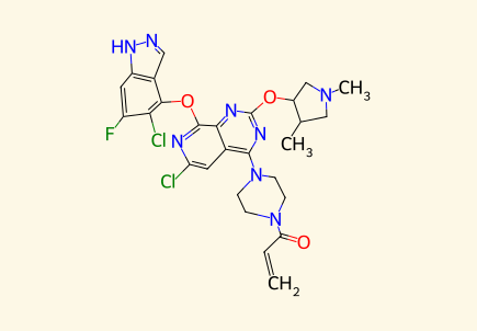 C=CC(=O)N1CCN(c2nc(OC3CN(C)CC3C)nc3c(Oc4c(Cl)c(F)cc5[nH]ncc45)nc(Cl)cc23)CC1